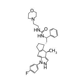 C[C@H]1C2=CNN(c3ccc(F)cc3)C2=CC2=C1[C@@H](CC(NC(=O)NCCN1CCOCC1)c1ccccc1)CC2